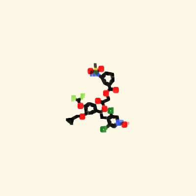 CS(=O)(=O)Nc1cccc(C(=O)OCC(=O)O[C@@H](Cc2c(Cl)c[n+]([O-])cc2Cl)c2ccc(OC(F)F)c(OCC3CC3)c2)c1